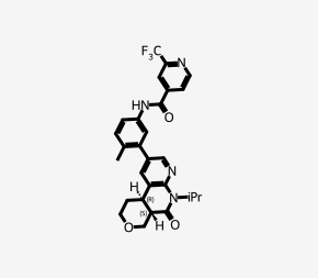 Cc1ccc(NC(=O)c2ccnc(C(F)(F)F)c2)cc1-c1cnc2c(c1)[C@@H]1CCOC[C@H]1C(=O)N2C(C)C